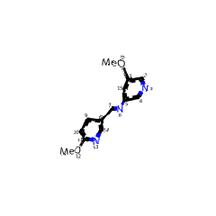 COc1cncc(N=Cc2ccc(OC)nc2)c1